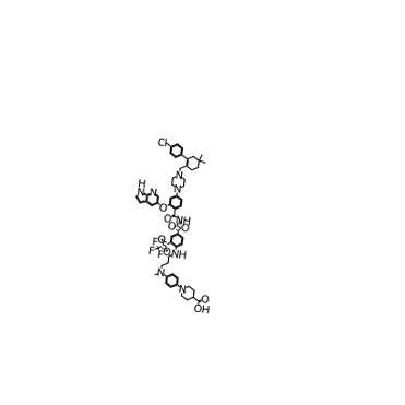 CN(CCCNc1ccc(S(=O)(=O)NC(=O)c2ccc(N3CCN(CC4=C(c5ccc(Cl)cc5)CC(C)(C)CC4)CC3)cc2Oc2cnc3[nH]ccc3c2)cc1S(=O)(=O)C(F)(F)F)c1ccc(N2CCC(C(=O)O)CC2)cc1